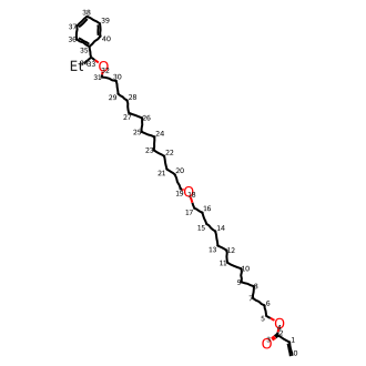 C=CC(=O)OCCCCCCCCCCCCCOCCCCCCCCCCCCCOC(CC)c1ccccc1